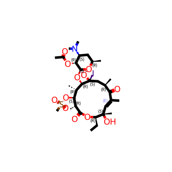 CC[C@H]1OC(=O)[C@H](C)[C@@H](OS(C)(=O)=O)[C@H](C)[C@@H](O[C@@H]2O[C@H](C)C[C@H](N(C)C)[C@H]2OC(C)=O)[C@](I)(OC)C[C@@H](C)C(=O)/C(C)=C/[C@]1(C)O